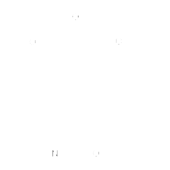 COc1cc(C(C=O)CN(C)C)cc(OC)c1OC